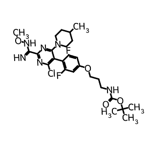 CONC(=N)c1nc(Cl)c(-c2c(F)cc(OCCCNC(=O)OC(C)(C)C)cc2F)c(N2CCC(C)CC2)n1